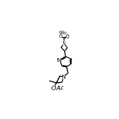 CC(=O)OC1(C)CN(Cc2ccc(C3CN(C(=O)OC(C)(C)C)C3)nc2)C1